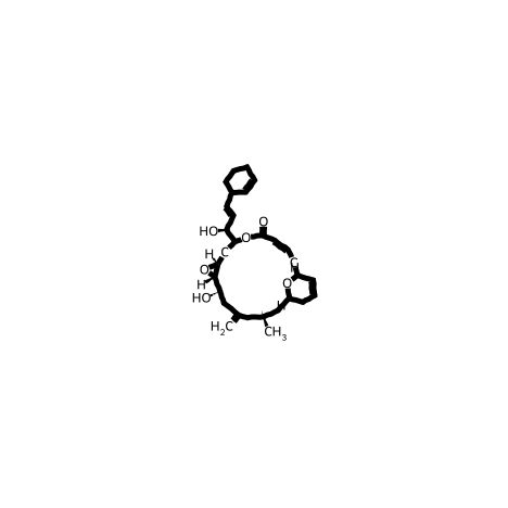 C=C1C[C@H](C)C[C@@H]2CC=C[C@@H](C/C=C\C(=O)OC([C@@H](O)/C=C/C3C=CCCC3)C[C@@H]3O[C@H]3[C@@H](O)C1)O2